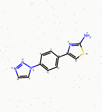 Nc1nc(-c2ccc(-n3ccnn3)cc2)cs1